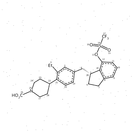 CCc1cc(C[C@H]2CCc3cccc(OS(=O)(=O)C(F)(F)F)c32)ccc1C1CCN(C(=O)O)CC1